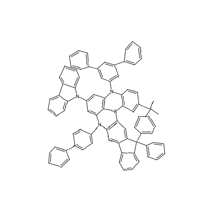 CC(C)(C)c1ccc2c(c1)B1c3cc4c(cc3N(c3ccc(-c5ccccc5)cc3)c3cc(-n5c6ccccc6c6ccccc65)cc(c31)N2c1cc(-c2ccccc2)cc(-c2ccccc2)c1)-c1ccccc1C4(c1ccccc1)c1ccccc1